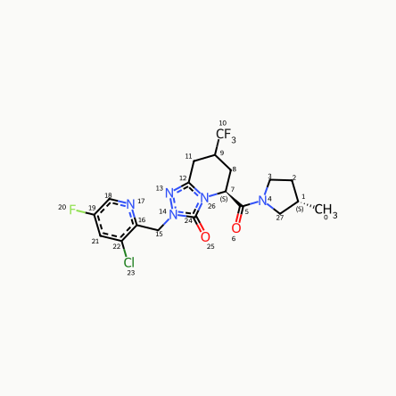 C[C@H]1CCN(C(=O)[C@@H]2CC(C(F)(F)F)Cc3nn(Cc4ncc(F)cc4Cl)c(=O)n32)C1